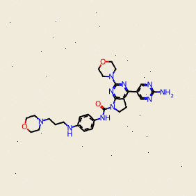 Nc1ncc(-c2nc(N3CCOCC3)nc3c2CCN3C(=O)Nc2ccc(NCCCN3CCOCC3)cc2)cn1